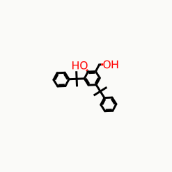 CC(C)(c1ccccc1)c1cc(CO)c(O)c(C(C)(C)c2ccccc2)c1